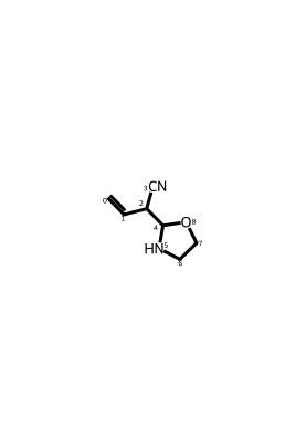 C=CC(C#N)C1NCCO1